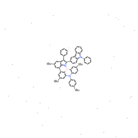 CC(C)(C)c1ccc(N2c3ccc(C(C)(C)C)cc3B3c4c(cc(C(C)(C)C)cc42)-c2cc(C(C)(C)C)cc4c(-c5ccccc5)c(-c5ccc6c(c5)c5ccccc5n6-c5ccccc5)n3c24)cc1